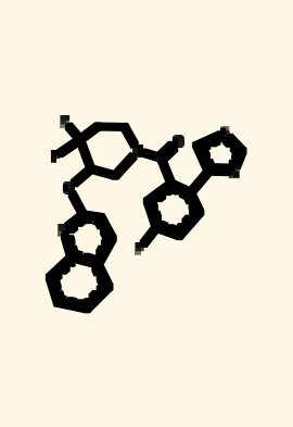 O=C(c1cc(F)ccc1-c1cscn1)N1CCC(F)(F)C(Oc2ccc3ccccc3n2)C1